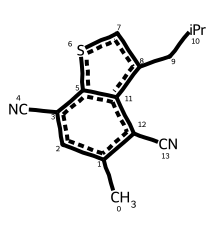 Cc1cc(C#N)c2scc(CC(C)C)c2c1C#N